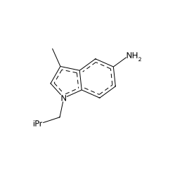 Cc1cn(CC(C)C)c2ccc(N)cc12